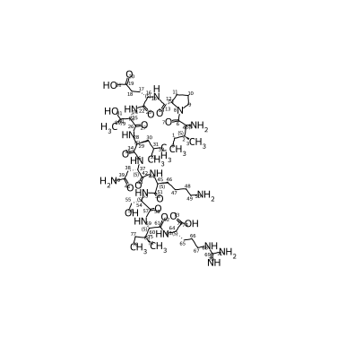 CC[C@H](C)[C@H](N)C(=O)N1CCC[C@H]1C(=O)N[C@@H](CCC(=O)O)C(=O)N[C@H](C(=O)N[C@@H](CC(C)C)C(=O)N[C@@H](CC(N)=O)C(=O)N[C@@H](CCCCN)C(=O)N[C@@H](CO)C(=O)N[C@H](C(=O)N[C@@H](CCCNC(=N)N)C(=O)O)[C@@H](C)CC)[C@@H](C)O